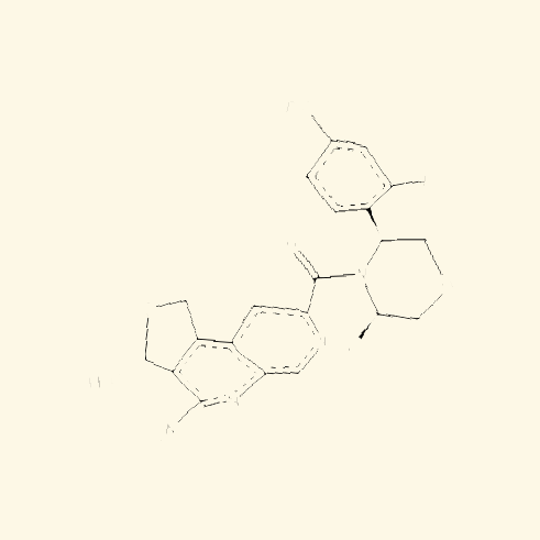 C[C@@H]1OCc2c1c(N)nc1cnc(C(=O)N3[C@H](C)COC[C@@H]3c3ccc(C(F)(F)F)cc3F)cc21